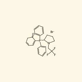 O=C1CC=CC=C1[P+](c1ccccc1)(c1ccccc1)C1CCCN1CC(F)(F)F.[Br-]